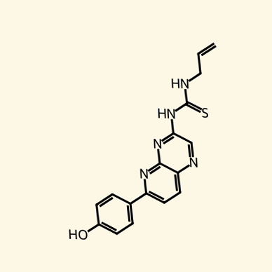 C=CCNC(=S)Nc1cnc2ccc(-c3ccc(O)cc3)nc2n1